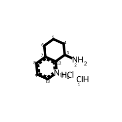 Cl.Cl.NC1CCCc2cccnc21